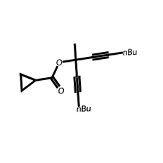 CCCCC#CC(C)(C#CCCCC)OC(=O)C1CC1